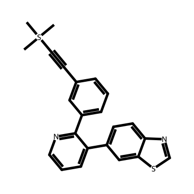 CS(C)(C)C#Cc1cccc(-c2ncccc2-c2ccc3ncsc3c2)c1